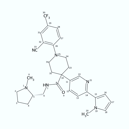 CN1CCC[C@H]1CNC(=O)C1(c2ccc(-c3cccn3C)nc2)CCN(c2ccc(C(F)(F)F)cc2C#N)CC1